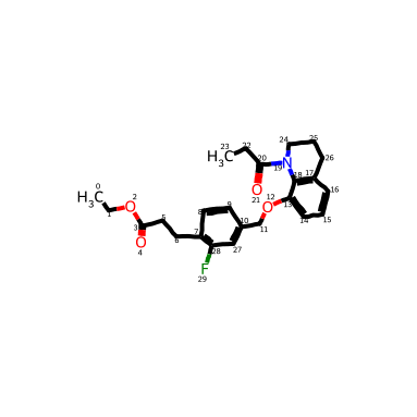 CCOC(=O)CCc1ccc(COc2cccc3c2N(C(=O)CC)CCC3)cc1F